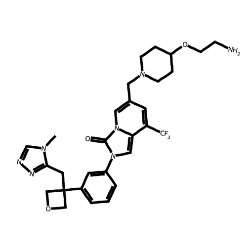 Cn1cnnc1CC1(c2cccc(-n3cc4c(C(F)(F)F)cc(CN5CCC(OCCN)CC5)cn4c3=O)c2)COC1